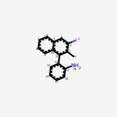 Cc1c(I)cc2ccccc2c1-c1ccccc1N